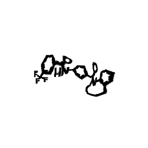 O=C(Nc1ccc(C(=O)N2CCCCc3ccccc32)cc1)c1cccc(C(F)(F)F)c1